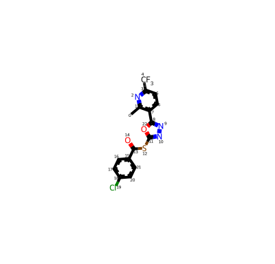 Cc1nc(C(F)(F)F)ccc1-c1nnc(SC(=O)c2ccc(Cl)cc2)o1